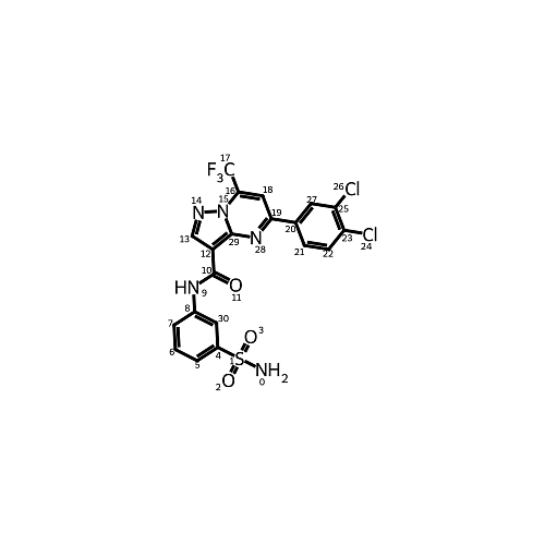 NS(=O)(=O)c1cccc(NC(=O)c2cnn3c(C(F)(F)F)cc(-c4ccc(Cl)c(Cl)c4)nc23)c1